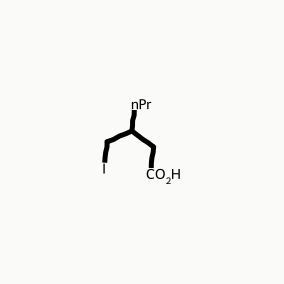 CCCC(CI)CC(=O)O